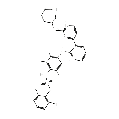 O=S(=O)(Cc1c(F)cccc1Cl)Nc1c(F)cc(Oc2ncccc2-c2ccnc(NC3CNC[C@@H](F)C3)n2)c(F)c1F